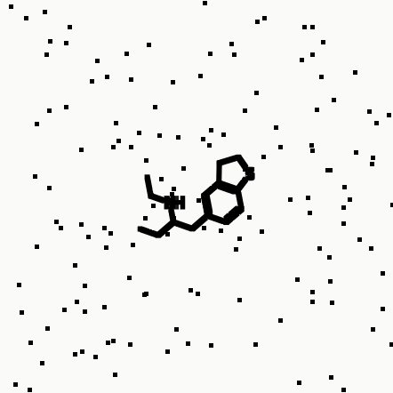 CCNC(CC)Cc1ccc2c(c1)CCS2